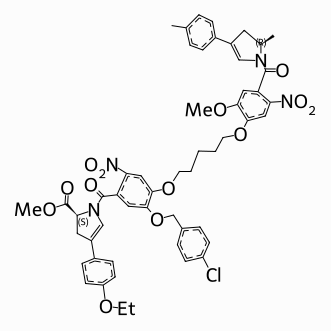 CCOc1ccc(C2=CN(C(=O)c3cc(OCc4ccc(Cl)cc4)c(OCCCCCOc4cc([N+](=O)[O-])c(C(=O)N5C=C(c6ccc(C)cc6)C[C@H]5C)cc4OC)cc3[N+](=O)[O-])[C@H](C(=O)OC)C2)cc1